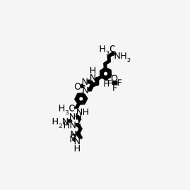 C[C@H](N)CCCc1cc(OC(F)(F)F)c(F)c(-c2cc3cn(-c4ccc([C@H](C)NCC[C@@H](Cc5c[nH]nn5)NC(=N)N)cc4)c(=O)nc3[nH]2)c1